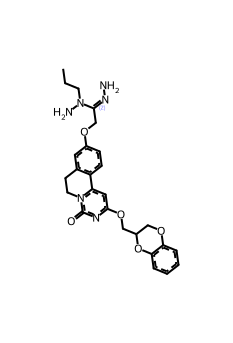 CCCN(N)/C(COc1ccc2c(c1)CCn1c-2cc(OCC2COc3ccccc3O2)nc1=O)=N\N